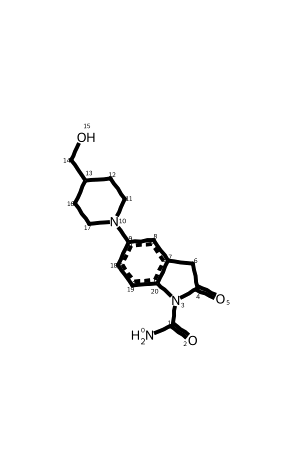 NC(=O)N1C(=O)Cc2cc(N3CCC(CO)CC3)[c]cc21